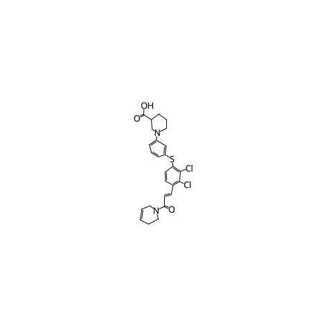 O=C(O)C1CCCN(c2cccc(Sc3ccc(C=CC(=O)N4CC=CCC4)c(Cl)c3Cl)c2)C1